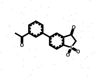 CC(=O)c1cccc(-c2ccc3c(c2)C(=O)CS3(=O)=O)c1